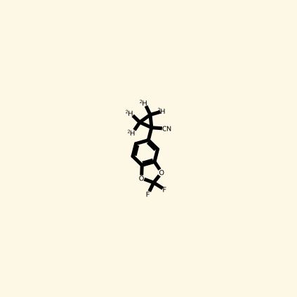 [2H]C1([2H])C([2H])([2H])C1(C#N)c1ccc2c(c1)OC(F)(F)O2